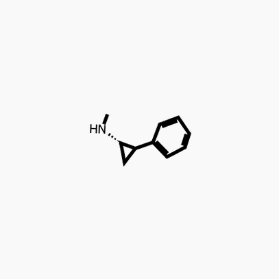 CN[C@H]1CC1c1ccccc1